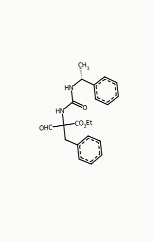 CCOC(=O)C(C=O)(Cc1ccccc1)NC(=O)N[C@H](C)c1ccccc1